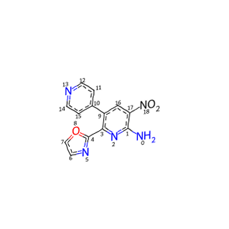 Nc1nc(-c2ncco2)c(-c2ccncc2)cc1[N+](=O)[O-]